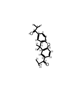 CC(C)C(=O)c1ccc2c(c1)C(C)(C)c1cc(C(=O)C(C)C)ccc1O2